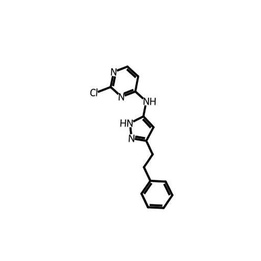 Clc1nccc(Nc2cc(CCc3ccccc3)n[nH]2)n1